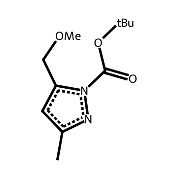 COCc1cc(C)nn1C(=O)OC(C)(C)C